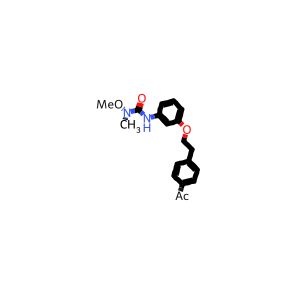 CON(C)C(=O)Nc1cccc(OCCc2ccc(C(C)=O)cc2)c1